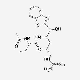 CCC(NC(C)=O)C(=O)NC(CCCNC(=N)N)C(O)c1nc2ccccc2s1